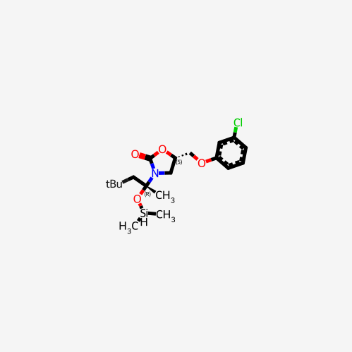 C[SiH](C)O[C@](C)(CC(C)(C)C)N1C[C@@H](COc2cccc(Cl)c2)OC1=O